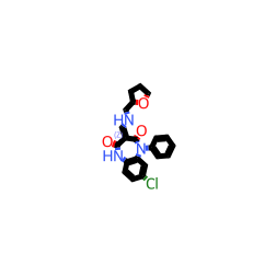 O=C1Nc2ccc(Cl)cc2N(c2ccccc2)C(=O)/C1=C\NCC1CCCO1